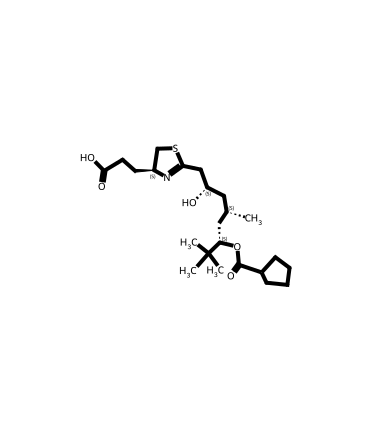 C[C@@H](C[C@H](O)CC1=N[C@@H](CCC(=O)O)CS1)C[C@H](OC(=O)C1CCCC1)C(C)(C)C